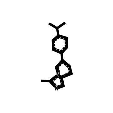 Cc1ncc2ccc(-c3ccc(C(C)C)cc3)cn12